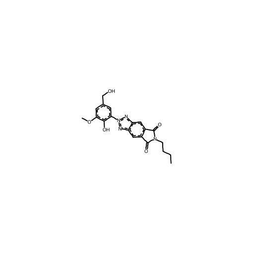 CCCCN1C(=O)c2cc3nn(-c4cc(CO)cc(OC)c4O)nc3cc2C1=O